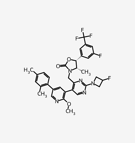 COc1ncc(-c2ccc(C)cc2C)cc1-c1cnc(N2CC(F)C2)nc1CN1C(=O)O[C@H](c2cc(F)cc(C(F)(F)F)c2)[C@@H]1C